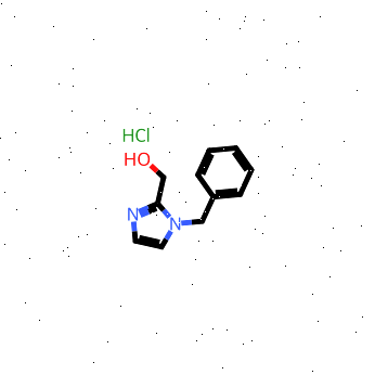 Cl.OCc1nccn1Cc1ccccc1